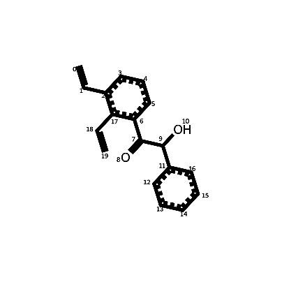 C=Cc1cccc(C(=O)C(O)c2ccccc2)c1C=C